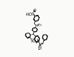 CCN(Cc1ccccc1)c1ccc(C(c2ccc(N(CC)Cc3cccc(S(=O)O)c3)cc2)c2ccccc2S(=O)(=O)O)cc1